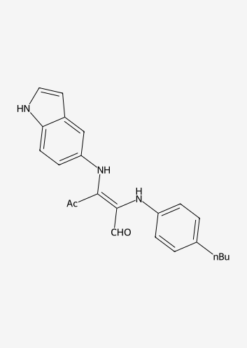 CCCCc1ccc(N/C(C=O)=C(\Nc2ccc3[nH]ccc3c2)C(C)=O)cc1